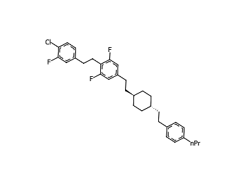 CCCc1ccc(CC[C@H]2CC[C@H](CCc3cc(F)c(CCc4ccc(Cl)c(F)c4)c(F)c3)CC2)cc1